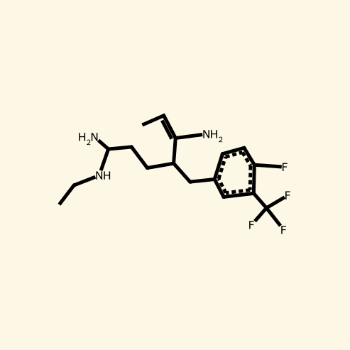 C/C=C(/N)C(CCC(N)NCC)Cc1ccc(F)c(C(F)(F)F)c1